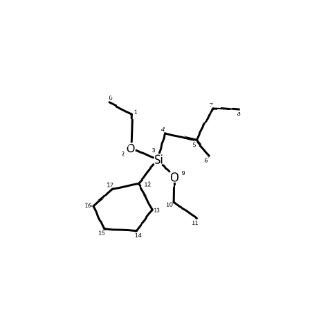 CCO[Si](CC(C)CC)(OCC)C1CCCCC1